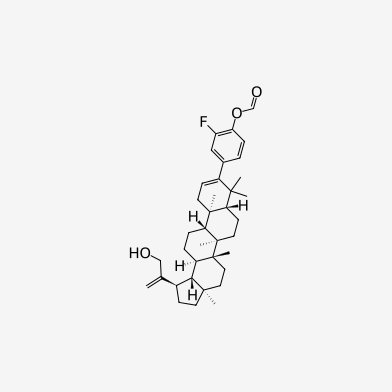 C=C(CO)[C@@H]1CC[C@]2(C)CC[C@]3(C)[C@H](CC[C@@H]4[C@@]5(C)CC=C(c6ccc(OC=O)c(F)c6)C(C)(C)[C@@H]5CC[C@]43C)[C@@H]12